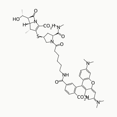 C[C@@H](O)[C@H]1C(=O)N2C(C(=O)O)=C(S[C@H]3C[C@@H](C(=O)N(C)C)N(C(=O)CCCCCNC(=O)c4ccc(C(=O)O)c(-c5c6ccc(=[N+](C)C)cc-6oc6cc(N(C)C)ccc56)c4)C3)[C@H](C)[C@H]12